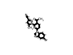 CC(=O)c1ccc(-n2cnc3cc(Br)ccc32)nc1-n1nc(C#N)cc1C